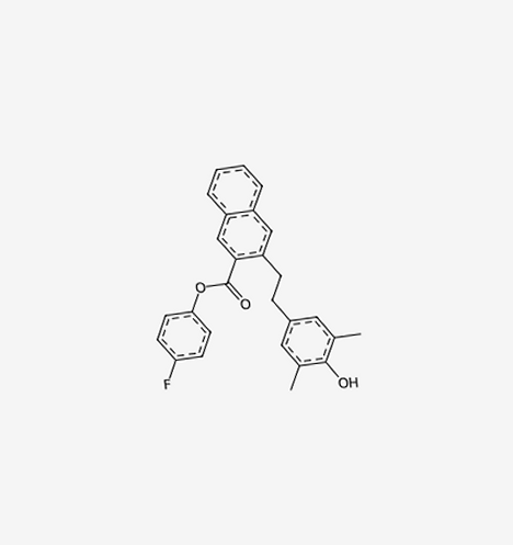 Cc1cc(CCc2cc3ccccc3cc2C(=O)Oc2ccc(F)cc2)cc(C)c1O